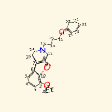 CCOc1cccc2c3c(oc12)CN(CCCCOC1=CC=CCC1)CC3